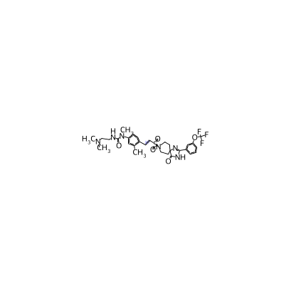 Cc1cc(N(C)C(=O)NCCN(C)C)ccc1/C=C/S(=O)(=O)N1CCC2(CC1)N=C(c1cccc(OC(F)(F)F)c1)NC2=O